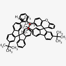 CC(C)(C)c1ccc2c(c1)C1(c3ccccc3Oc3ccc(N(c4ccccc4)c4ccc5c(c4)C4(c6ccccc6-5)c5cc(C(C)(C)C)ccc5-c5ccc(C(C)(C)C)cc54)cc31)c1cc(C(C)(C)C)ccc1-2